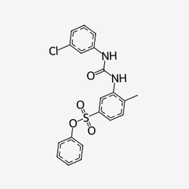 Cc1ccc(S(=O)(=O)Oc2ccccc2)cc1NC(=O)Nc1cccc(Cl)c1